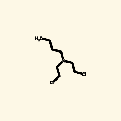 CCCCN(CCCl)CCCl